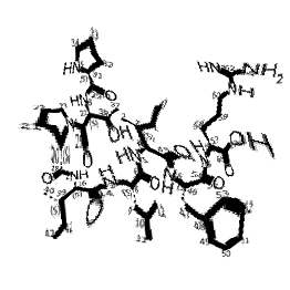 CC[C@H](C)[C@H](NC(=O)[C@H](CC(C)C)NC(=O)[C@@H](NC(=O)[C@@H]1CCCN1C(=O)[C@@H](NC(=O)[C@@H]1CCCN1)[C@@H](C)O)[C@@H](C)CC)C(=O)N[C@@H](Cc1ccccc1)C(=O)N[C@@H](CCCNC(=N)N)C(=O)O